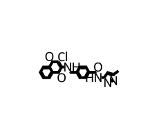 CC1=CC(NC(=O)c2ccc(CNC3=C(Cl)C(=O)c4ccccc4C3=O)cc2)N=N1